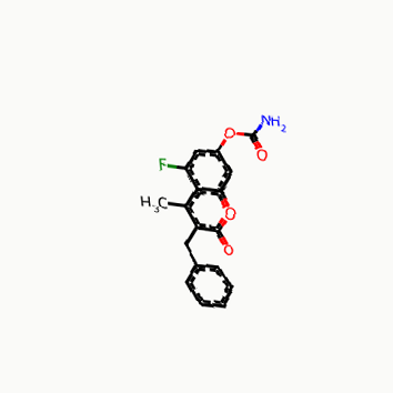 Cc1c(Cc2ccccc2)c(=O)oc2cc(OC(N)=O)cc(F)c12